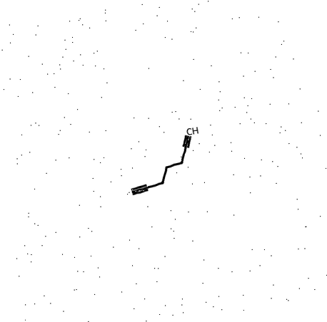 [C]#CCCCC#C